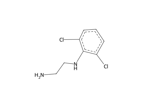 NCCNc1c(Cl)cccc1Cl